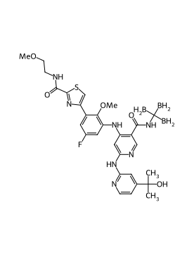 BC(B)(B)NC(=O)c1cnc(Nc2cc(C(C)(C)O)ccn2)cc1Nc1cc(F)cc(-c2csc(C(=O)NCCOC)n2)c1OC